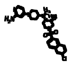 CN(C1CCN(c2ccnc(N)c2)CC1)N1CCN(S(=O)(=O)c2ccc3cc(Cl)ccc3c2)CC1=O.Cl